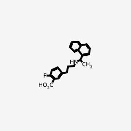 CC(NCCCc1ccc(F)c(C(=O)O)c1)c1cccc2ccccc12